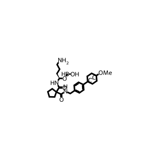 COC12CCC(c3ccc(CNC(=O)C4(C(=O)N[C@@H](CCCN)OBO)CCCC4)cc3)(CC1)CC2